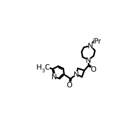 Cc1ccc(C(=O)N2CC(C(=O)N3CCCN(C(C)C)CC3)C2)cn1